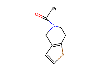 CC(C)C(=O)N1CCc2sccc2C1